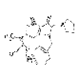 CC(C)OC(=O)N(C)c1cnc2c(c1)N(Cc1ccccc1)C(N1CCCC1)N2